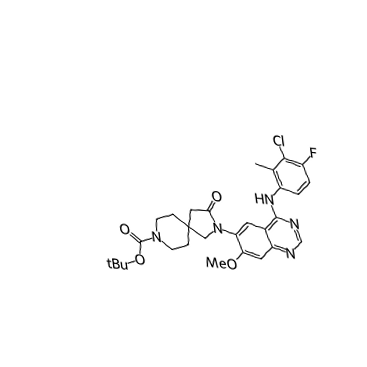 COc1cc2ncnc(Nc3ccc(F)c(Cl)c3C)c2cc1N1CC2(CCN(C(=O)OC(C)(C)C)CC2)CC1=O